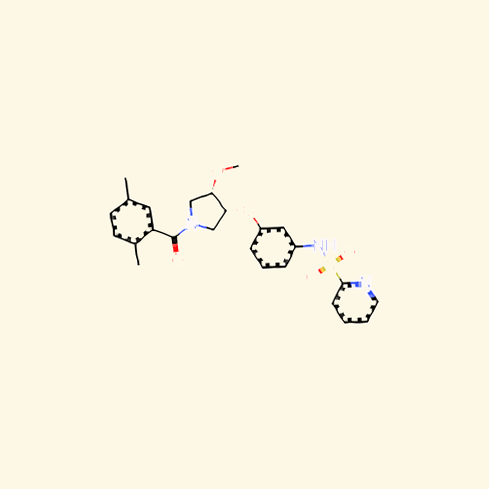 CO[C@@H]1CN(C(=O)c2cc(C)ccc2C)C[C@H]1Oc1cccc(NS(=O)(=O)c2ccccn2)c1